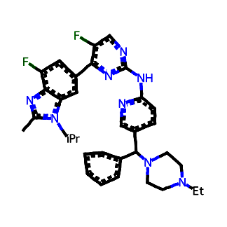 CCN1CCN(C(c2ccccc2)c2ccc(Nc3ncc(F)c(-c4cc(F)c5nc(C)n(C(C)C)c5c4)n3)nc2)CC1